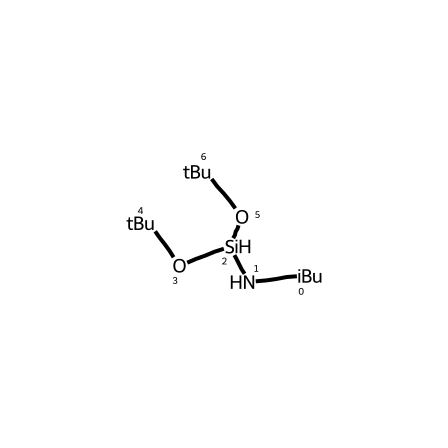 CCC(C)N[SiH](OC(C)(C)C)OC(C)(C)C